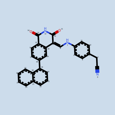 N#CCc1ccc(NC=C2C(=O)NC(=O)c3ccc(-c4cccc5ccccc45)cc32)cc1